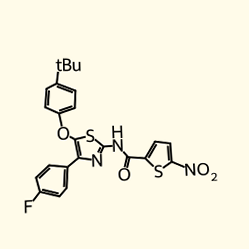 CC(C)(C)c1ccc(Oc2sc(NC(=O)c3ccc([N+](=O)[O-])s3)nc2-c2ccc(F)cc2)cc1